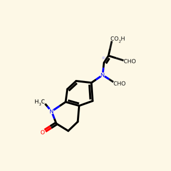 CN1C(=O)CCc2cc(N(C=O)/C=C(\C=O)C(=O)O)ccc21